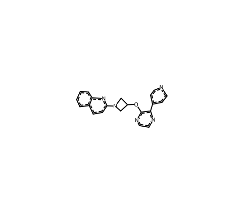 c1ccc2nc(N3CC(Oc4nccnc4-c4ccncc4)C3)ccc2c1